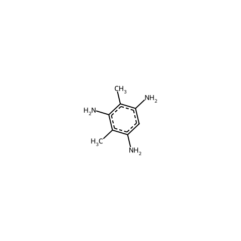 Cc1c(N)cc(N)c(C)c1N